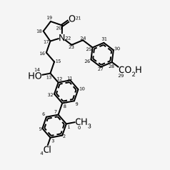 Cc1cc(Cl)ccc1-c1cccc(C(O)CCC2CCC(=O)N2CCc2ccc(C(=O)O)cc2)c1